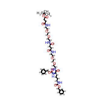 CC(C)(C)OC(=O)CCC(=O)NCCOCCOCCNC(=O)CCC(=O)NCCOCCOCCNC(=O)[C@H](CCCCNC(=O)OCc1ccccc1)NC(=O)OCc1ccccc1